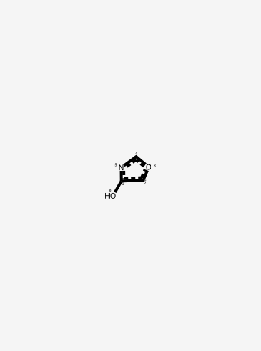 Oc1[c]ocn1